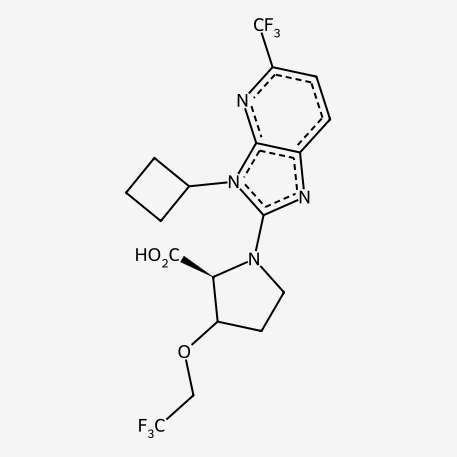 O=C(O)[C@@H]1C(OCC(F)(F)F)CCN1c1nc2ccc(C(F)(F)F)nc2n1C1CCC1